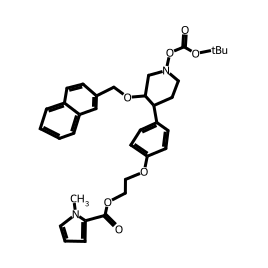 Cn1cccc1C(=O)OCCOc1ccc(C2CCN(OC(=O)OC(C)(C)C)CC2OCc2ccc3ccccc3c2)cc1